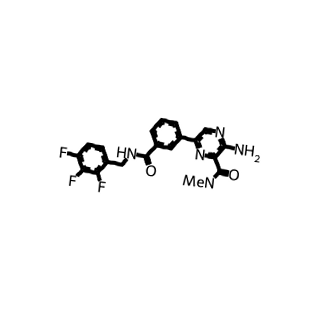 CNC(=O)c1nc(-c2cccc(C(=O)NCc3ccc(F)c(F)c3F)c2)cnc1N